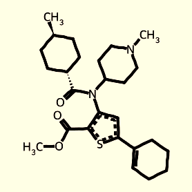 COC(=O)c1sc(C2=CCCCC2)cc1N(C(=O)[C@H]1CC[C@H](C)CC1)C1CCN(C)CC1